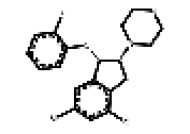 Fc1ccccc1O[C@H]1c2cc(Cl)cc(Cl)c2C[C@@H]1N1CCNCC1